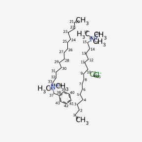 CCCCCCCCCCCCCCCC[N+](C)(C)C.CCCCCCCCCCCCCC[N+](C)(C)Cc1ccccc1.[Cl-].[Cl-]